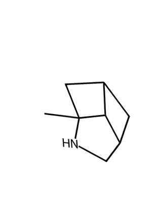 CC12CC3CC(CN1)C32